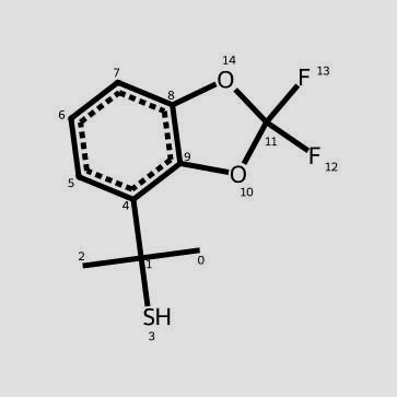 CC(C)(S)c1cccc2c1OC(F)(F)O2